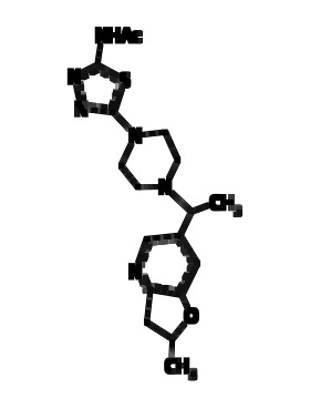 CC(=O)Nc1nnc(N2CCN(C(C)c3cnc4c(c3)OC(C)C4)CC2)s1